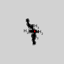 COc1cc(C=CC(=O)CC(Cc2ccc(N)cc2)(Cc2ccc(N)cc2)C(O)(O)C(=O)C=Cc2ccc(OC(=O)c3ccc(OCCCCC(F)(F)F)cc3)c(OC)c2)ccc1OC(=O)c1ccc(OCCCCC(F)(F)F)cc1